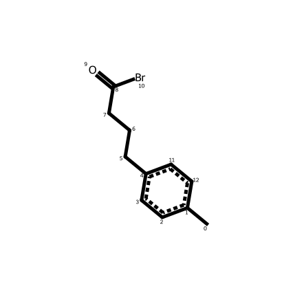 Cc1ccc(CCCC(=O)Br)cc1